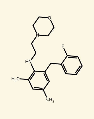 Cc1cc(C)c(NCCN2CCOCC2)c(Cc2ccccc2F)c1